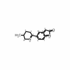 CC1CCC(c2ccc3c(c2)=CC(=O)N=3)=NC1